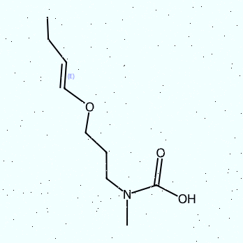 CC/C=C/OCCCN(C)C(=O)O